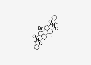 Cc1cc2c3c(ccc4c5c(Br)cc6c7c(ccc(c1c34)c75)C(=O)N(C(C)c1ccccc1)C6=O)C(=O)N(C(C)c1ccccc1)C2=O